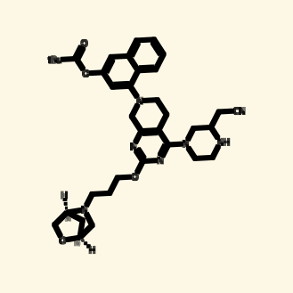 CC(C)(C)C(=O)Oc1cc(N2CCc3c(nc(OCCCN4C[C@@H]5C[C@H]4CO5)nc3N3CCNC(CC#N)C3)C2)c2ccccc2c1